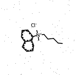 CCCCC[N+](C)(C)c1cccc2ccccc12.[Cl-]